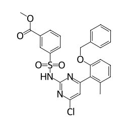 COC(=O)c1cccc(S(=O)(=O)Nc2nc(Cl)cc(-c3c(C)cccc3OCc3ccccc3)n2)c1